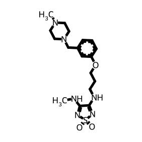 CNC1=NS(=O)(=O)N=C1NCCCOc1cccc(CN2CCN(C)CC2)c1